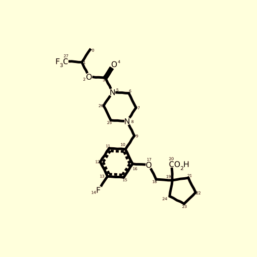 CC(OC(=O)N1CCN(Cc2ccc(F)cc2OCC2(C(=O)O)CCCC2)CC1)C(F)(F)F